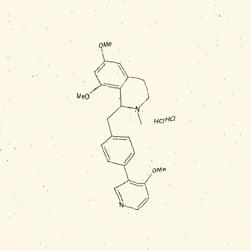 COc1cc2c(c(OC)c1)C(Cc1ccc(-c3cnccc3OC)cc1)N(C)CC2.Cl.Cl